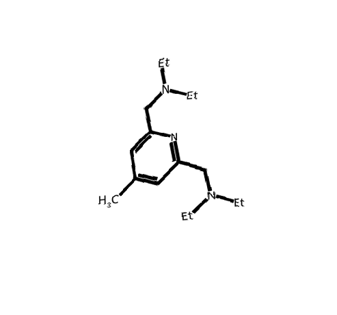 CCN(CC)Cc1cc(C)cc(CN(CC)CC)n1